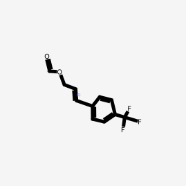 O=[C]OC/C=C/c1ccc(C(F)(F)F)cc1